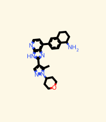 Cc1c(-c2nc3c(-c4ccc5c(c4)CCCC5N)ccnc3[nH]2)cnn1C1CCOCC1